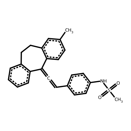 Cc1ccc2c(c1)CCc1ccccc1C2=C=Cc1ccc(NS(C)(=O)=O)cc1